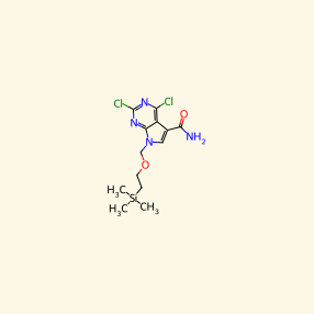 C[Si](C)(C)CCOCn1cc(C(N)=O)c2c(Cl)nc(Cl)nc21